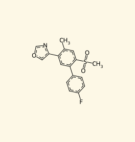 Cc1cc(S(C)(=O)=O)c(-c2ccc(F)cc2)cc1-c1cocn1